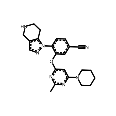 Cc1nc(Oc2cc(C#N)ccc2-n2ncc3c2CCNC3)cc(N2CCCCC2)n1